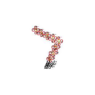 O=S(=O)([O-])[O-].O=S(=O)([O-])[O-].O=S(=O)([O-])[O-].O=S(=O)([O-])[O-].O=S(=O)([O-])[O-].O=S(=O)([O-])[O-].O=S(=O)([O-])[O-].O=S(=O)([O-])[O-].[Mo+4].[Mo+4].[Mo+4].[Mo+4]